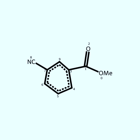 COC(=O)c1cccc(C#N)c1